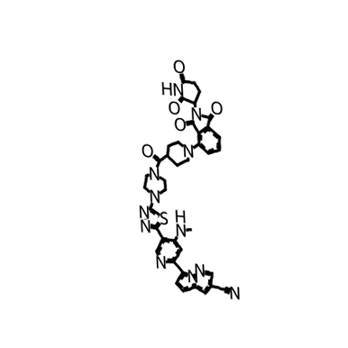 CNc1cc(-c2ccc3cc(C#N)cnn23)ncc1-c1nnc(N2CCN(C(=O)C3CCN(c4cccc5c4C(=O)N(C4CCC(=O)NC4=O)C5=O)CC3)CC2)s1